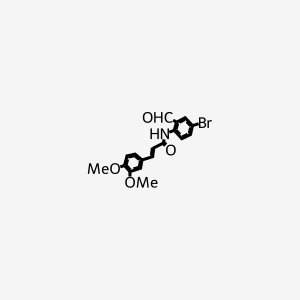 COc1ccc(/C=C/C(=O)Nc2ccc(Br)cc2C=O)cc1OC